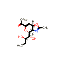 COC(=O)C1=C[C@@H]2OC(C)=N[C@H]2[C@H]([C@H](O)[C@H](O)COC(C)=O)O1